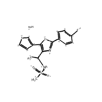 CC(NS(C)(=O)=O)c1nc(-c2ccc(F)cc2)oc1-c1ccsc1.[NaH]